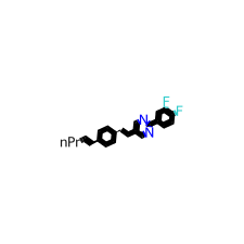 CCCC=C[C@H]1CC[C@H](CCc2cnc(-c3ccc(F)c(F)c3)nc2)CC1